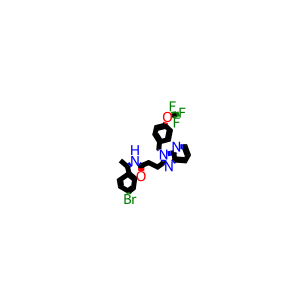 CC(NC(=O)CCc1nc2cccnc2n1Cc1ccc(OC(F)(F)F)cc1)c1ccc(Br)cc1